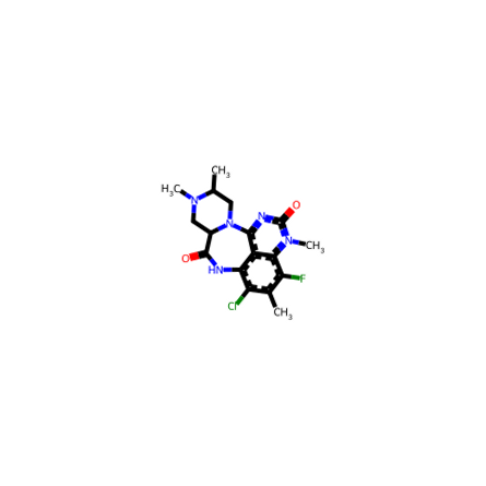 Cc1c(Cl)c2c3c(nc(=O)n(C)c3c1F)N1CC(C)N(C)CC1C(=O)N2